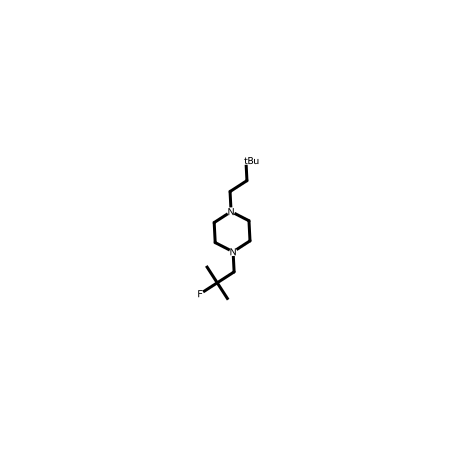 CC(C)(C)CCN1CCN(CC(C)(C)F)CC1